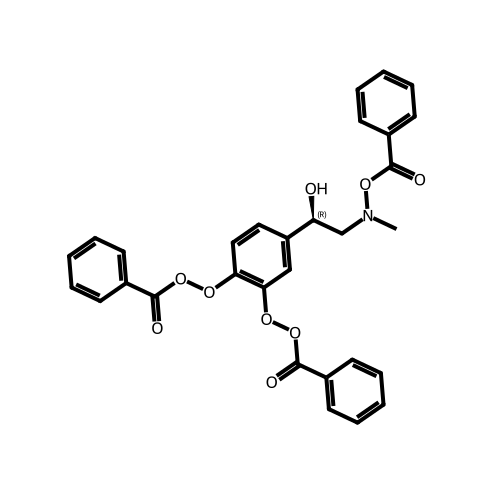 CN(C[C@H](O)c1ccc(OOC(=O)c2ccccc2)c(OOC(=O)c2ccccc2)c1)OC(=O)c1ccccc1